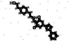 O=C1CC(c2ccc(-c3ccncc3)s2)CC(=O)C1=CNCCN1CCN(CCO)CC1